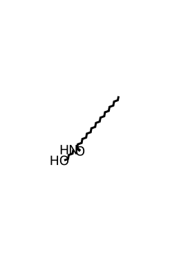 CCCCCCCCCCCCCCCCCCCC(=O)NCCCO